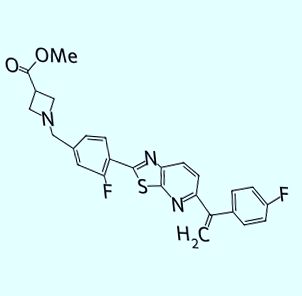 C=C(c1ccc(F)cc1)c1ccc2nc(-c3ccc(CN4CC(C(=O)OC)C4)cc3F)sc2n1